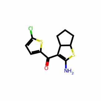 NC1=C(C(=O)c2ccc(Cl)s2)C2CCCC2S1